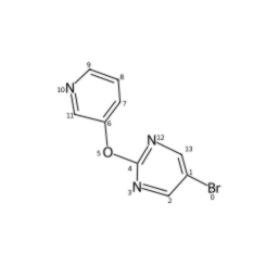 Brc1cnc(Oc2cccnc2)nc1